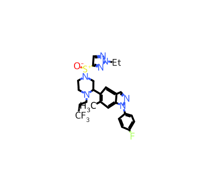 CCn1ncc([S+]([O-])N2CCN(CCC(F)(F)F)C(c3cc4cnn(-c5ccc(F)cc5)c4cc3C)C2)n1